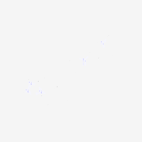 c1ccc(CCNCc2ccc(-c3cc4nncn4c4ccccc34)cc2)nc1